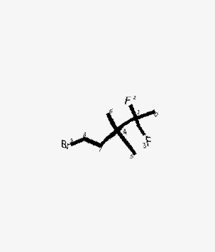 CC(F)(F)C(C)(C)CCBr